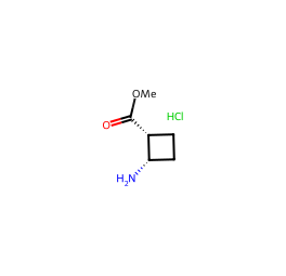 COC(=O)[C@@H]1CC[C@@H]1N.Cl